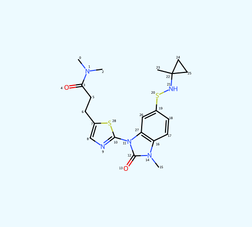 CN(C)C(=O)CCc1cnc(-n2c(=O)n(C)c3ccc(SNC4(C)CC4)cc32)s1